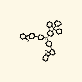 c1ccc(C2(c3ccccc3)c3ccccc3-c3cc(N(c4ccc(-c5ccc6c(c5)sc5ccccc56)cc4)c4ccc(-c5cccc6c5oc5ccccc56)cc4)ccc32)cc1